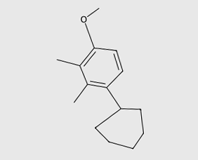 COc1ccc(C2CCCCC2)c(C)c1C